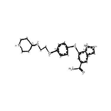 NC(=O)c1cc(Oc2ccc(OCCOC3CCOCC3)cc2)c2[nH]ncc2c1